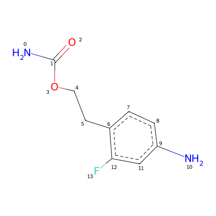 NC(=O)OCCc1ccc(N)cc1F